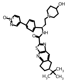 CC(C)(C)[C@H]1CCc2nc3sc(C(=O)N[C@H](CCN4CCC(O)CC4)c4ccc(-c5cc[n+]([O-])nc5)cc4)nc3cc2C1